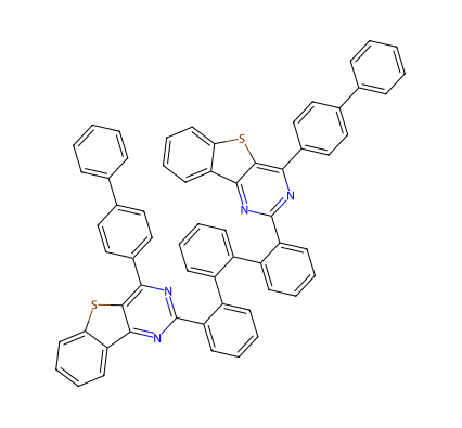 c1ccc(-c2ccc(-c3nc(-c4ccccc4-c4ccccc4-c4ccccc4-c4nc(-c5ccc(-c6ccccc6)cc5)c5sc6ccccc6c5n4)nc4c3sc3ccccc34)cc2)cc1